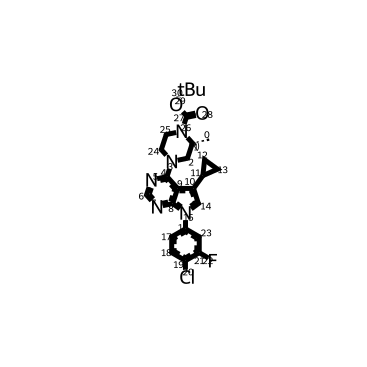 C[C@@H]1CN(c2ncnc3c2c(C2CC2)cn3-c2ccc(Cl)c(F)c2)CCN1C(=O)OC(C)(C)C